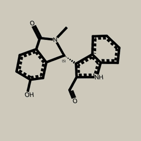 CN1C(=O)c2ccc(O)cc2[C@H]1c1c(C=O)[nH]c2ccccc12